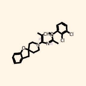 C/C(=N/C(=C(/C)C=O)N1CCC2(CC1)Cc1ccccc1O2)N(C)c1cccc(Cl)c1Cl